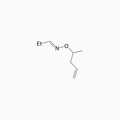 [CH2]CC=NOC(C)CC=C